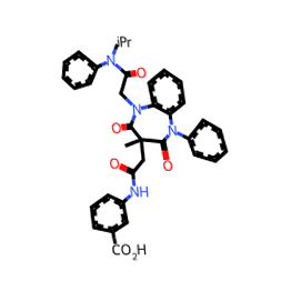 CC(C)N(C(=O)CN1C(=O)C(C)(CC(=O)Nc2cccc(C(=O)O)c2)C(=O)N(c2ccccc2)c2ccccc21)c1ccccc1